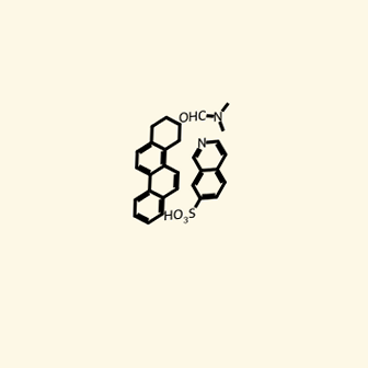 CN(C)C=O.O=S(=O)(O)c1ccc2ccncc2c1.c1ccc2c(c1)ccc1c3c(ccc12)CCCC3